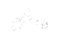 c1ccc(-c2ccccc2-c2ccccc2N(c2ccc(-c3ccc(-n4c5ccccc5c5ccccc54)cc3)cc2)c2cccc3c2-c2ccccc2C32c3ccccc3-n3c4ccccc4c4cccc2c43)cc1